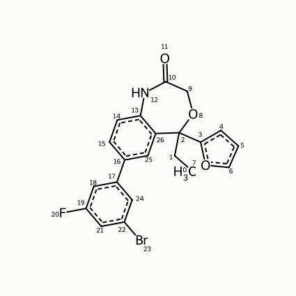 CCC1(c2ccco2)OCC(=O)Nc2ccc(-c3cc(F)cc(Br)c3)cc21